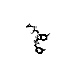 O=C(Cn1nc(S(=O)(=O)Cc2cccc(F)c2)c2ccc(F)cc21)NC1CC1